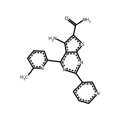 Cc1cccc(-c2nc(-c3cccnc3)nc3sc(C(N)=O)c(N)c23)n1